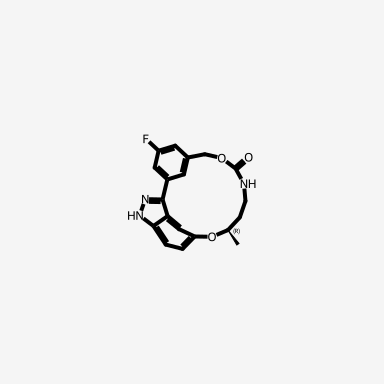 C[C@@H]1CCNC(=O)OCc2cc(F)cc(c2)-c2n[nH]c3ccc(cc23)O1